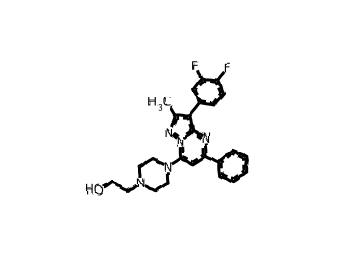 Cc1nn2c(N3CCN(CCO)CC3)cc(-c3ccccc3)nc2c1-c1ccc(F)c(F)c1